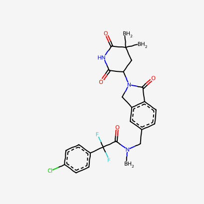 BN(Cc1ccc2c(c1)CN(C1CC(B)(B)C(=O)NC1=O)C2=O)C(=O)C(F)(F)c1ccc(Cl)cc1